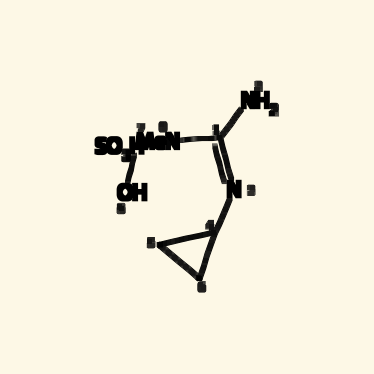 CN/C(N)=N\C1CC1.O=S(=O)(O)O